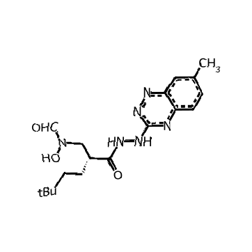 Cc1ccc2nc(NNC(=O)[C@H](CCC(C)(C)C)CN(O)C=O)nnc2c1